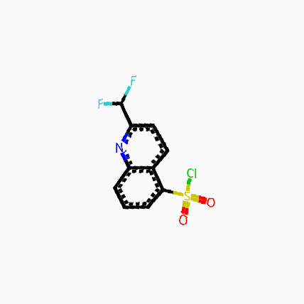 O=S(=O)(Cl)c1cccc2nc(C(F)F)ccc12